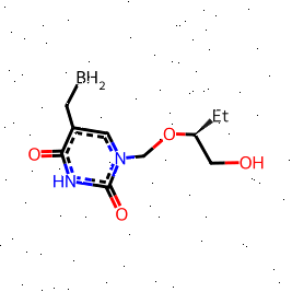 BCc1cn(CO[C@@H](CC)CO)c(=O)[nH]c1=O